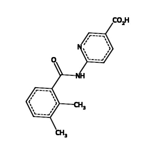 Cc1cccc(C(=O)Nc2ccc(C(=O)O)cn2)c1C